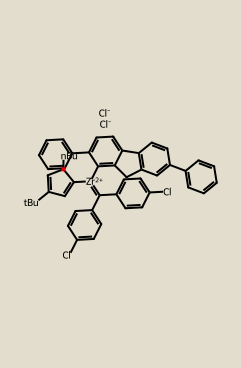 CCCCC1C=C(C(C)(C)C)C=[C]1[Zr+2](=[C](c1ccc(Cl)cc1)c1ccc(Cl)cc1)[c]1c(-c2ccccc2)ccc2c1Cc1cc(-c3ccccc3)ccc1-2.[Cl-].[Cl-]